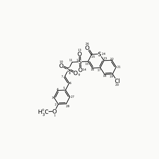 COc1ccc(C=CS(=O)(=O)CS(=O)(=O)c2cc3cc(Cl)ccc3sc2=O)cc1